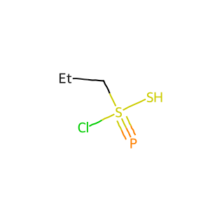 CCCS(#P)(S)Cl